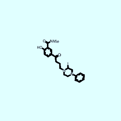 CNC(=O)c1cc(C(=O)CCCN2CCN(c3ccccc3)CC2I)ccc1O